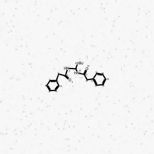 CCCCC(NC(=O)Cc1ccccc1)NC(=O)Cc1ccccc1